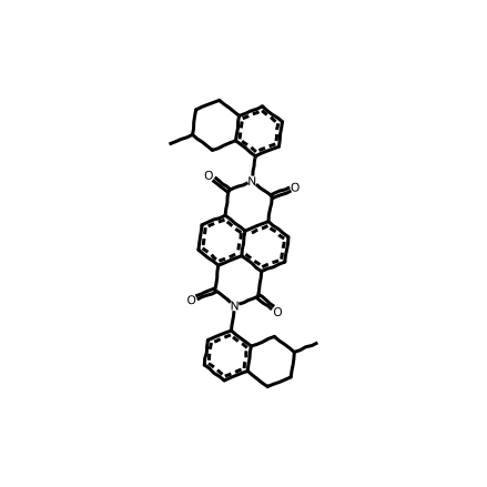 CC1CCc2cccc(N3C(=O)c4ccc5c6c(ccc(c46)C3=O)C(=O)N(c3cccc4c3CC(C)CC4)C5=O)c2C1